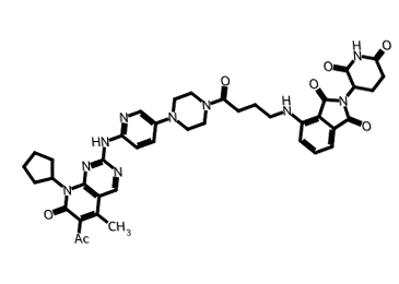 CC(=O)c1c(C)c2cnc(Nc3ccc(N4CCN(C(=O)CCCNc5cccc6c5C(=O)N(C5CCC(=O)NC5=O)C6=O)CC4)cn3)nc2n(C2CCCC2)c1=O